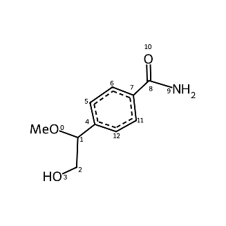 COC(CO)c1ccc(C(N)=O)cc1